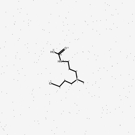 CN(CCCCl)CCCNC(=O)O